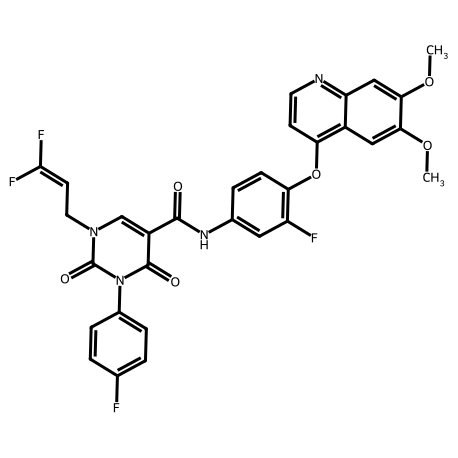 COc1cc2nccc(Oc3ccc(NC(=O)c4cn(CC=C(F)F)c(=O)n(-c5ccc(F)cc5)c4=O)cc3F)c2cc1OC